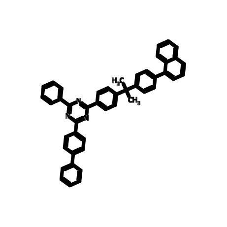 CC(C)(c1ccc(-c2nc(-c3ccccc3)nc(-c3ccc(-c4ccccc4)cc3)n2)cc1)c1ccc(-c2cccc3ccccc23)cc1